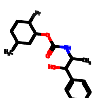 CC1CCC(C(C)C)C(OC(=O)NC(C)C(O)c2ccccc2)C1